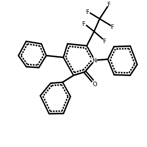 O=c1c(-c2ccccc2)c(-c2ccccc2)cc(C(F)(F)C(F)(F)F)n1-c1ccccc1